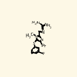 CC(C)c1nc(CN=C(N)N)n(C)c1Sc1cccc(F)c1